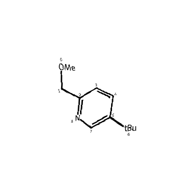 COCc1ccc(C(C)(C)C)cn1